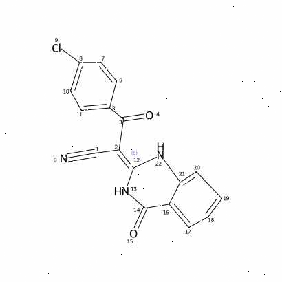 N#C/C(C(=O)c1ccc(Cl)cc1)=C1\NC(=O)c2ccccc2N1